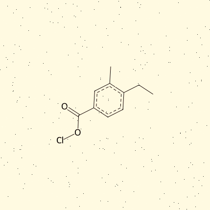 CCc1ccc(C(=O)OCl)cc1C